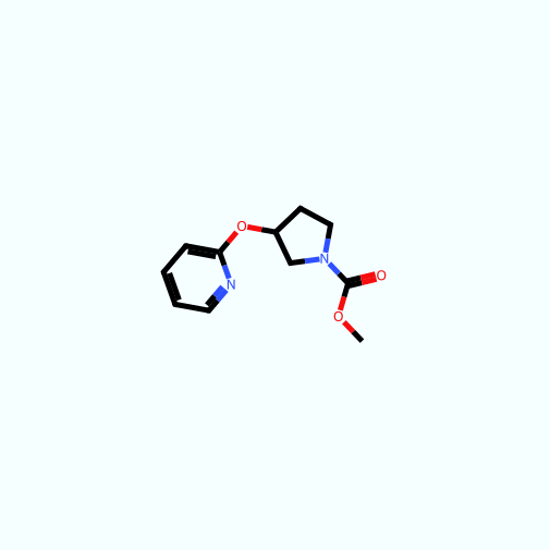 COC(=O)N1CCC(Oc2ccccn2)C1